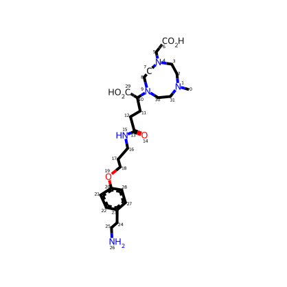 CN1CCN(CC(=O)O)CCN(C(CCC(=O)NCCCOc2ccc(CCN)cc2)C(=O)O)CC1